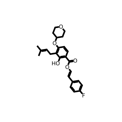 CC(C)=CCc1c(OC2CCOCC2)ccc(C(=O)OC=Cc2ccc(F)cc2)c1O